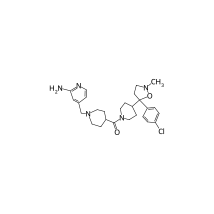 CN1CCC(c2ccc(Cl)cc2)(C2CCN(C(=O)C3CCN(Cc4ccnc(N)c4)CC3)CC2)O1